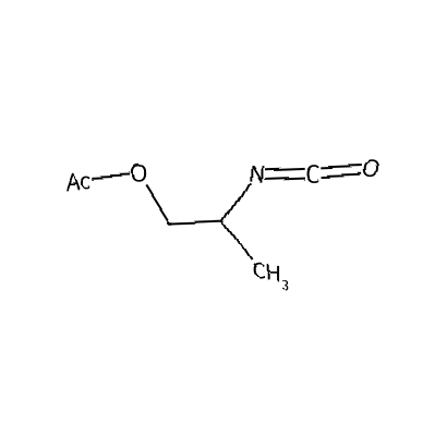 CC(=O)OCC(C)N=C=O